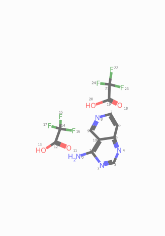 Nc1ncnc2ccncc12.O=C(O)C(F)(F)F.O=C(O)C(F)(F)F